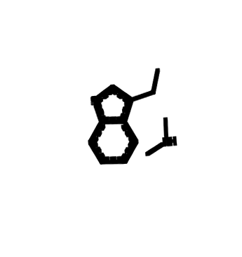 CCc1csc2ccccc12.CNC